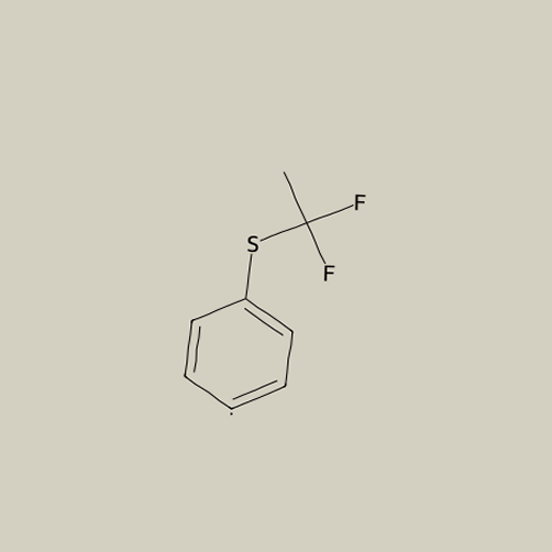 CC(F)(F)Sc1cc[c]cc1